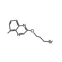 Cc1cccc2nc(OCCCBr)cnc12